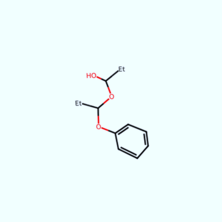 CCC(O)OC(CC)Oc1ccccc1